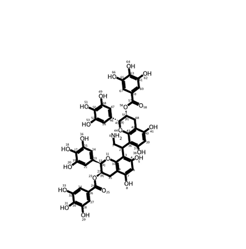 NCC(c1c(O)cc(O)c2c1O[C@H](c1cc(O)c(O)c(O)c1)[C@H](OC(=O)c1cc(O)c(O)c(O)c1)C2)c1c(O)cc(O)c2c1O[C@H](c1cc(O)c(O)c(O)c1)[C@H](OC(=O)c1cc(O)c(O)c(O)c1)C2